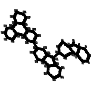 c1ccc2c(c1)sc1ccc(-n3c4ccccc4c4ccc(-c5ccc6c7ccccc7c7ccccc7c6c5)cc43)cc12